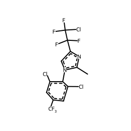 Cc1nc(C(F)(F)C(F)(F)Cl)cn1-c1c(Cl)cc(C(F)(F)F)cc1Cl